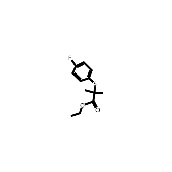 CCOC(=O)C(C)(C)Sc1ccc(F)cc1